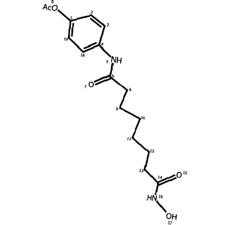 CC(=O)Oc1ccc(NC(=O)CCCCCCC(=O)NO)cc1